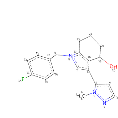 Cn1nccc1-c1cn(Cc2ccc(F)cc2)c2c1C(O)CCC2